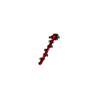 CC(=O)CCOCCOCCOCCNC(=O)CCCCCCCNC(=O)CCOCCCOCCC(=O)CNCCCCCCCC(=O)NCCOCCOCCOCCC(=O)NCCCCCCOC1OC(C(=O)O)C(OC2OC(COS(=O)(=O)O)C(O)C(O)C2C)C(O)C1OS(=O)(=O)O